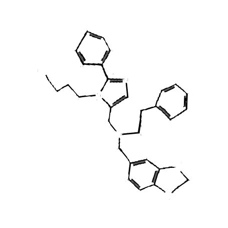 CCCCn1c(CN(CCc2ccccc2)Cc2ccc3c(c2)OCO3)cnc1-c1ccccc1